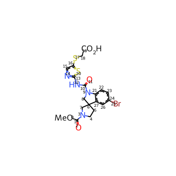 COC(=O)N1CCC2(C1)CN(C(=O)Nc1ncc(SCC(=O)O)s1)c1ccc(Br)cc12